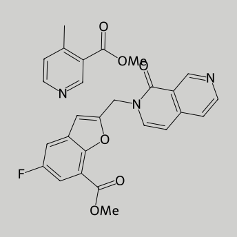 COC(=O)c1cc(F)cc2cc(Cn3ccc4ccncc4c3=O)oc12.COC(=O)c1cnccc1C